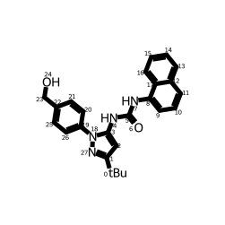 CC(C)(C)c1cc(NC(=O)Nc2cccc3ccccc23)n(-c2ccc(CO)cc2)n1